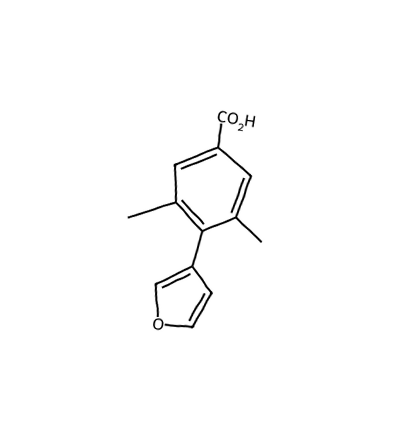 Cc1cc(C(=O)O)cc(C)c1-c1ccoc1